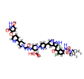 CCN(C)S(=O)(=O)Nc1ccc(F)c(C(=O)c2c[nH]c3ncc(-c4ccc(N5CCC(NC(=O)CN6CCC(c7ccc(OC8CCC(=O)NC8=O)cn7)CC6)CC5)nc4)cc23)c1F.O=CO